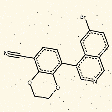 N#Cc1ccc(-c2cncc3ccc(Br)cc23)c2c1OCCO2